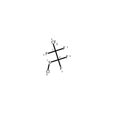 FC(F)(F)C(F)(F)C(F)(F)SCl